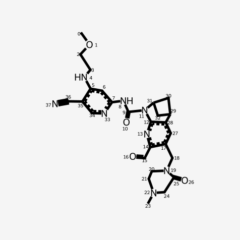 COCCNc1cc(NC(=O)N2c3nc(C=O)c(CN4CCN(C)CC4=O)cc3C3CC2C3)ncc1C#N